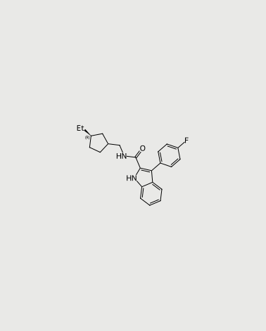 CC[C@@H]1CCC(CNC(=O)c2[nH]c3ccccc3c2-c2ccc(F)cc2)C1